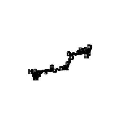 CCO[Si](CCCSCCC(=O)OCCOCC(C)(C)COCCOC(=O)CCSCCC[Si](OCC)(OCC)OCC)(OCC)OCC